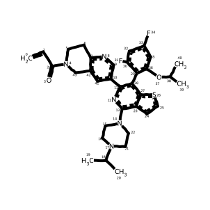 C=CC(=O)N1CCc2ncc(-c3nc(N4CCN(C(C)C)CC4)c4ccsc4c3-c3c(F)cc(F)cc3OC(C)C)cc2C1